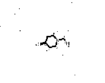 [3H]CN1CCC(=O)CC1